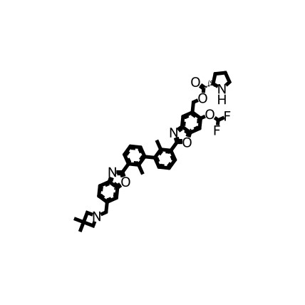 Cc1c(-c2nc3ccc(CN4CC(C)(C)C4)cc3o2)cccc1-c1cccc(-c2nc3cc(COC(=O)[C@@H]4CCCN4)c(OC(F)F)cc3o2)c1C